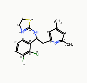 Cc1cc(C)nc(CC(NC2=NCCS2)c2cccc(Cl)c2Cl)c1